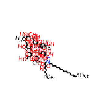 CCCCCCCC/C=C\CCCCCCCCCCCCCC(=O)N[C@@H](CO[C@@H]1OC(CO)[C@@H](O[C@@H]2OC(CO)[C@H](O)[C@H](O[C@@H]3OC(CO)[C@@H](O[C@H]4OC(C)[C@@H](O)C(O)[C@@H]4O)[C@H](O[C@@H]4OC(CO)[C@H](O)[C@H](O[C@@H]5OC(CO)[C@@H](O)[C@H](O[C@H]6OC(C)[C@@H](O)C(O)[C@@H]6O)C5NC(C)=O)C4O)C3NC(C)=O)C2O)[C@H](O)C1O)[C@H](O)/C=C/CCCCCCCCCCCCC